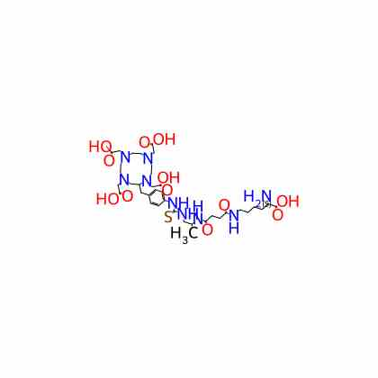 CC(CNC(=S)Nc1ccc(CC2CN(CC(=O)O)CCN(CC(=O)O)CCN(CC(=O)O)CCN2CC(=O)O)cc1)NC(=O)CCC(=O)NCCCC[C@H](N)C(=O)O